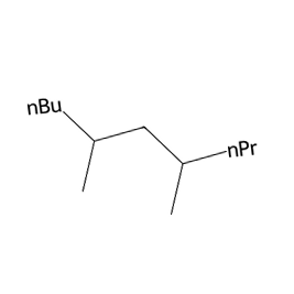 [CH2]CCCC(C)CC(C)CCC